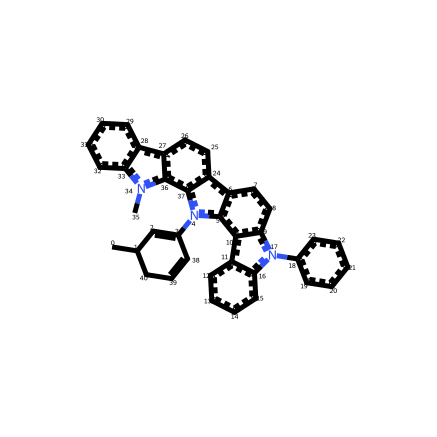 CC1C=C(n2c3c(ccc4c3c3ccccc3n4-c3ccccc3)c3ccc4c5ccccc5n(C)c4c32)C=CC1